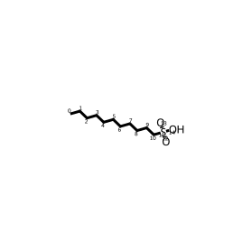 CCCCCCCCCCCS(=O)(=O)O